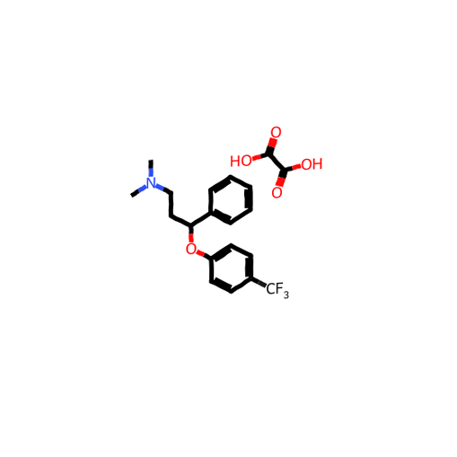 CN(C)CCC(Oc1ccc(C(F)(F)F)cc1)c1ccccc1.O=C(O)C(=O)O